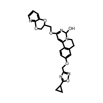 OC1N=C(OCC2COc3ncccc3O2)C=C2c3ccc(OCc4noc(C5CC5)n4)cc3CCN21